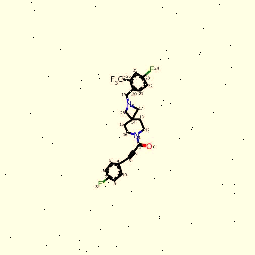 O=C(C#Cc1ccc(F)cc1)N1CCC2(CC1)CN(Cc1ccc(F)cc1C(F)(F)F)C2